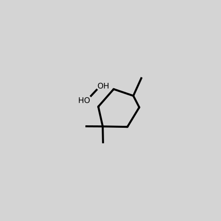 CC1CCC(C)(C)CC1.OO